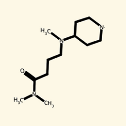 CN(C)C(=O)CCCN(C)C1CC[N]CC1